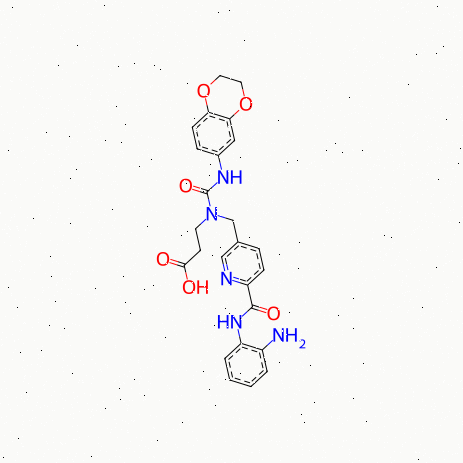 Nc1ccccc1NC(=O)c1ccc(CN(CCC(=O)O)C(=O)Nc2ccc3c(c2)OCCO3)cn1